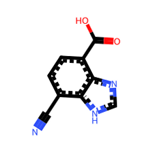 N#Cc1ccc(C(=O)O)c2nc[nH]c12